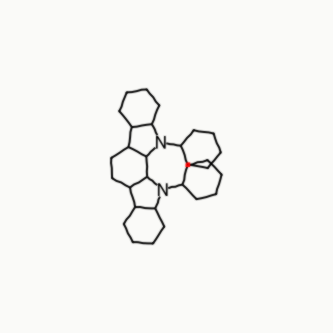 C1CCC(N2C3CCCCC3C3CCC4C5CCCCC5N(C5CCCCC5)C4C32)CC1